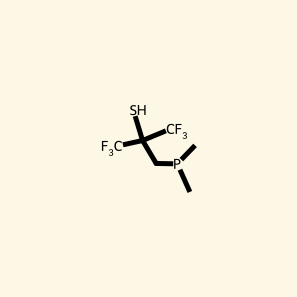 CP(C)CC(S)(C(F)(F)F)C(F)(F)F